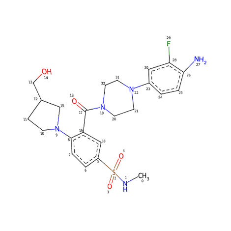 CNS(=O)(=O)c1ccc(N2CCC(CO)C2)c(C(=O)N2CCN(c3ccc(N)c(F)c3)CC2)c1